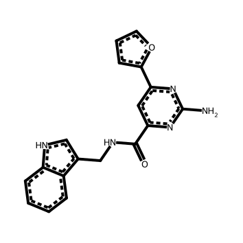 Nc1nc(C(=O)NCc2c[nH]c3ccccc23)cc(-c2ccco2)n1